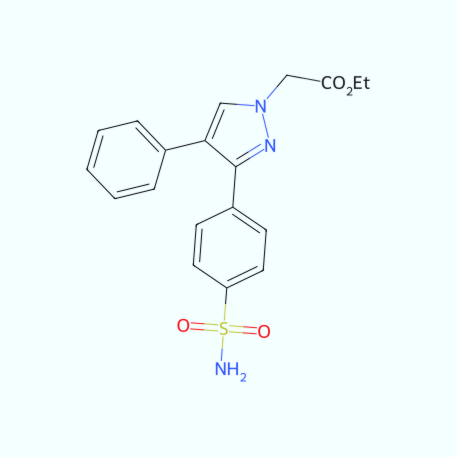 CCOC(=O)Cn1cc(-c2ccccc2)c(-c2ccc(S(N)(=O)=O)cc2)n1